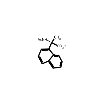 CC(=O)N[C@](C)(C(=O)O)c1cccc2ccccc12